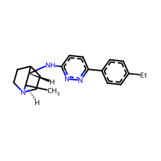 CCc1ccc(-c2ccc(N[C@H]3C4CCN(CC4)[C@@H]3C)nn2)cc1